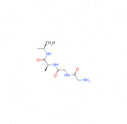 C[C@H](NC(=O)[C@H](C)NC(=O)CNC(=O)CN)C(=O)O